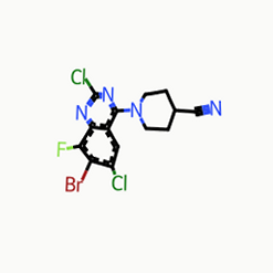 N#CC1CCN(c2nc(Cl)nc3c(F)c(Br)c(Cl)cc23)CC1